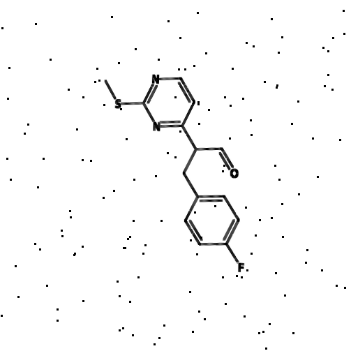 CSc1nccc(C(C=O)Cc2ccc(F)cc2)n1